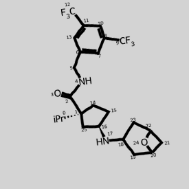 CC(C)[C@]1(C(=O)NCc2cc(C(F)(F)F)cc(C(F)(F)F)c2)CC[C@@H](NC2CC3CC(C2)O3)C1